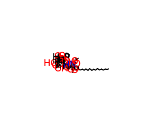 CCCCCCCCCCCCCCCCCCOC(C)O[C@@H](C(=O)O[C@H]1C[C@@]2(O)[C@@H](OC(=O)c3ccccc3)[C@@H]3[C@]4(OC(C)=O)CO[C@@H]4C[C@H](O)[C@@]3(C)C(=O)[C@H](O)C(=C1C)C2(C)C)[C@@H](NC(=O)OC(C)(C)C)c1ccccc1